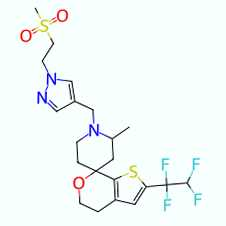 CC1CC2(CCN1Cc1cnn(CCS(C)(=O)=O)c1)OCCc1cc(C(F)(F)C(F)F)sc12